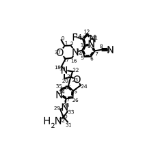 CC1CN(c2ccc(C#N)n3ncc(F)c23)CC(CN2CC3(C2)OCc2cc(N4CC(C)(N)C4)ncc23)O1